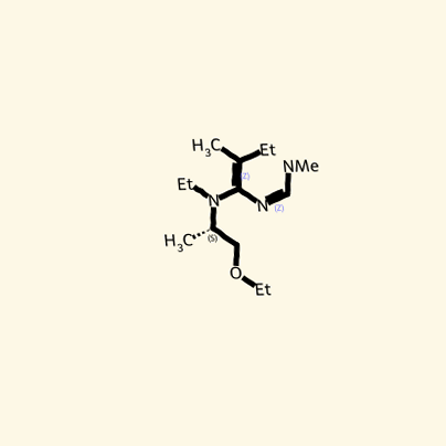 CCOC[C@H](C)N(CC)C(/N=C\NC)=C(\C)CC